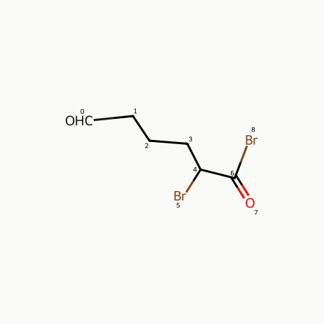 O=CCCCC(Br)C(=O)Br